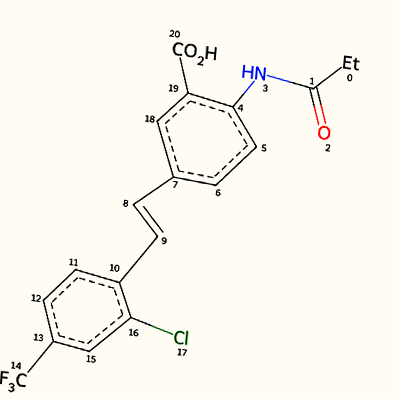 CCC(=O)Nc1ccc(/C=C/c2ccc(C(F)(F)F)cc2Cl)cc1C(=O)O